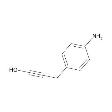 Nc1ccc(CC#CO)cc1